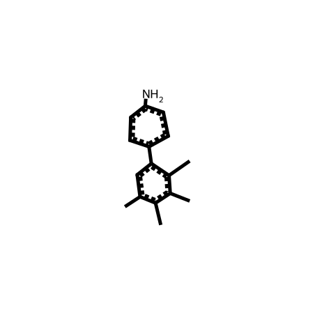 Cc1cc(-c2ccc(N)cc2)c(C)c(C)c1C